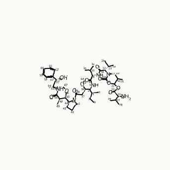 CC[C@H](C)[C@H](NC(=O)[C@@H](NC(=O)[C@H](C(C)C)N(C)C(=O)OC(OC(=O)[C@@H](N)C(C)C)C(C)C)C(C)C)[C@@H](CC(=O)N1CCC[C@H]1[C@H](OC)[C@@H](C)C(=O)N[C@H](C)[C@@H](O)c1ccccc1)OC